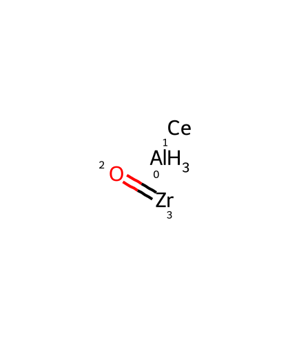 [AlH3].[Ce].[O]=[Zr]